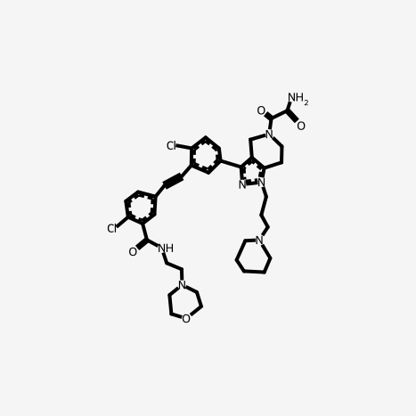 NC(=O)C(=O)N1CCc2c(c(-c3ccc(Cl)c(C#Cc4ccc(Cl)c(C(=O)NCCN5CCOCC5)c4)c3)nn2CCCN2CCCCC2)C1